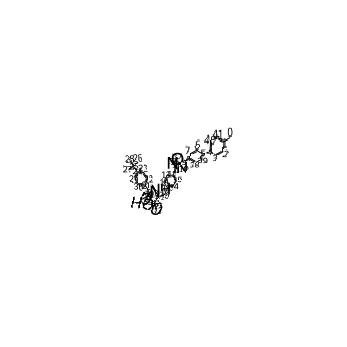 Cc1ccc(-c2ccc(-c3nc(-c4ccc(C[C@H](NC(=O)c5ccc(C(C)(C)C)cc5)C(=O)O)cc4)no3)cc2)cc1